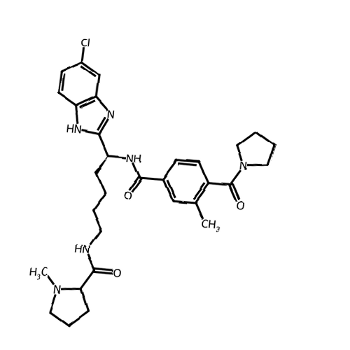 Cc1cc(C(=O)N[C@@H](CCCCNC(=O)C2CCCN2C)c2nc3cc(Cl)ccc3[nH]2)ccc1C(=O)N1CCCC1